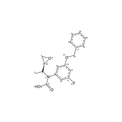 CC([C@H]1CO1)N(C(=O)O)c1cc(F)cc(OCc2ccccc2)c1